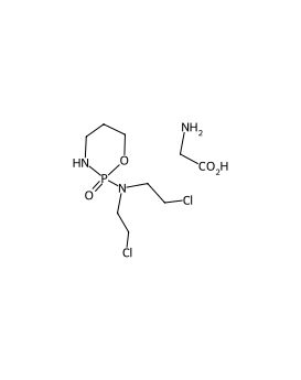 NCC(=O)O.O=P1(N(CCCl)CCCl)NCCCO1